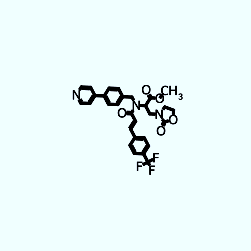 COC(=O)C(CN1CCOC1=O)N(Cc1ccc(-c2ccncc2)cc1)C(=O)/C=C/c1ccc(C(F)(F)F)cc1